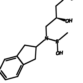 CB(O)N(C[C@H](O)CN)C1Cc2ccccc2C1